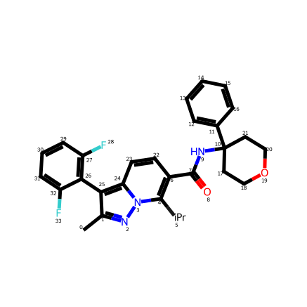 Cc1nn2c(C(C)C)c(C(=O)NC3(c4ccccc4)CCOCC3)ccc2c1-c1c(F)cccc1F